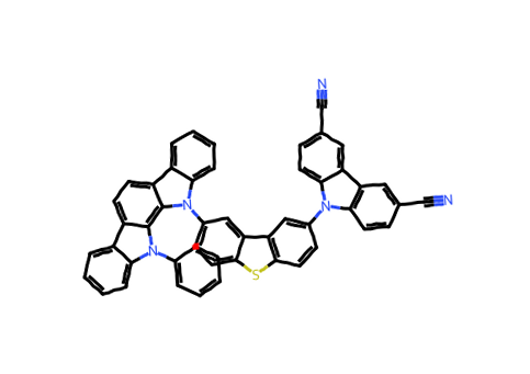 N#Cc1ccc2c(c1)c1cc(C#N)ccc1n2-c1ccc2sc3ccc(-n4c5ccccc5c5ccc6c7ccccc7n(-c7ccccc7)c6c54)cc3c2c1